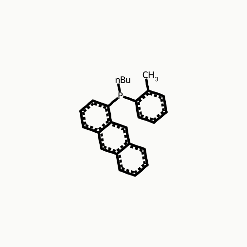 CCCCP(c1ccccc1C)c1cccc2cc3ccccc3cc12